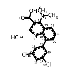 CN(C)c1c(C(=O)O)cnc2c(-c3cc(Cl)cc(Cl)c3)cccc12.Cl